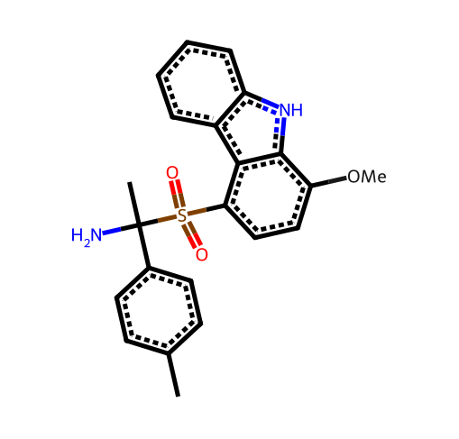 COc1ccc(S(=O)(=O)C(C)(N)c2ccc(C)cc2)c2c1[nH]c1ccccc12